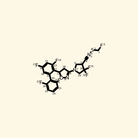 FCS[N+]#CC1CN(C2=NOC(c3c(F)cc(F)cc3-c3c(F)cccc3F)C2)CC1(F)F